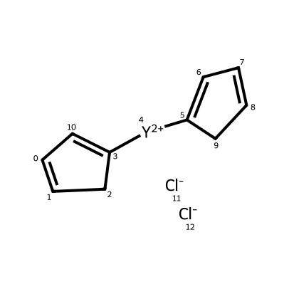 C1=CC[C]([Y+2][C]2=CC=CC2)=C1.[Cl-].[Cl-]